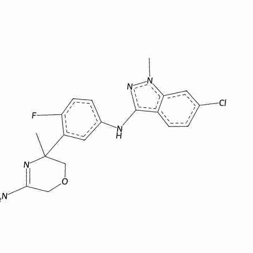 Cn1nc(Nc2ccc(F)c(C3(C)COCC(N)=N3)c2)c2ccc(Cl)cc21